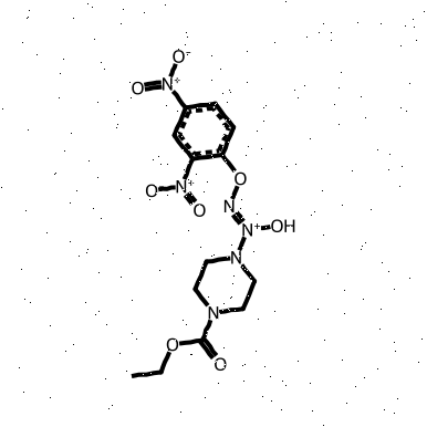 CCOC(=O)N1CCN(/[N+](O)=N/Oc2ccc([N+](=O)[O-])cc2[N+](=O)[O-])CC1